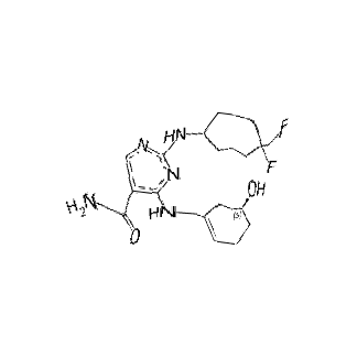 NC(=O)c1cnc(NC2CCC(F)(F)CC2)nc1NC1=CCC[C@H](O)C1